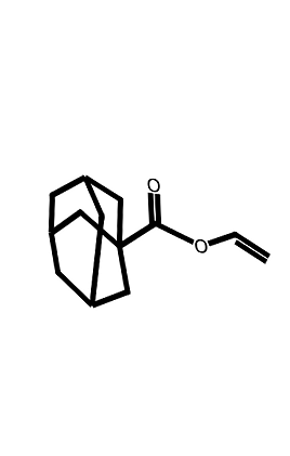 C=COC(=O)C12CC3CC(CC(C3)C1)C2